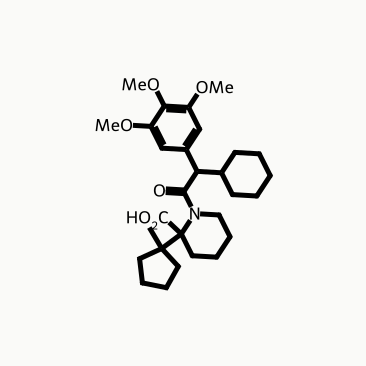 COc1cc(C(C(=O)N2CCCCC2(C(=O)O)C2(C)CCCC2)C2CCCCC2)cc(OC)c1OC